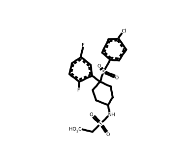 O=C(O)CS(=O)(=O)NC1CCC(c2cc(F)ccc2F)(S(=O)(=O)c2ccc(Cl)cc2)CC1